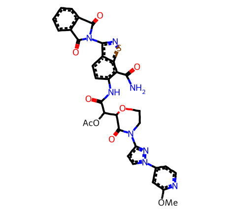 COc1cc(-n2ccc(N3CCOC(C(OC(C)=O)C(=O)Nc4ccc5c(N6C(=O)c7ccccc7C6=O)nsc5c4C(N)=O)C3=O)n2)ccn1